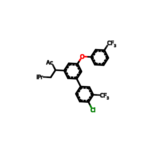 CC(=O)C(CC(C)C)c1cc(Oc2cccc(C(F)(F)F)c2)cc(-c2ccc(Cl)c(C(F)(F)F)c2)c1